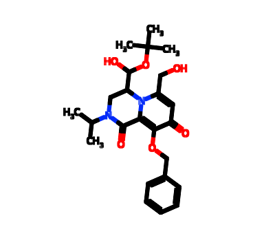 CC(C)N1CC(C(O)OC(C)(C)C)n2c(CO)cc(=O)c(OCc3ccccc3)c2C1=O